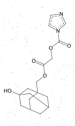 O=C(COC(=O)n1ccnc1)OCC12CC3CC(CC(O)(C3)C1)C2